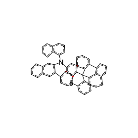 c1ccc(-c2cc3ccccc3cc2N(c2ccc3c(c2)Sc2ccccc2C32c3ccccc3-c3cccc4cccc2c34)c2cccc3ccccc23)cc1